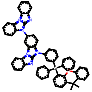 CC1(C)c2ccccc2Oc2c1cccc2[Si](c1ccccc1)(c1ccccc1)c1cccc(-n2c3ccc(-n4c5ccccc5n5c6ccccc6nc45)cc3n3c4ccccc4nc23)c1